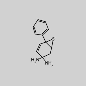 NC1(N)C=CC2(c3ccccc3)SC2C1